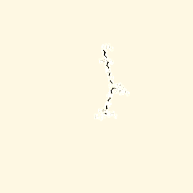 CC/C=C/CNC(=O)CCOCCOCCOC(C)(CCOCCOCCNC(C)C)SSC